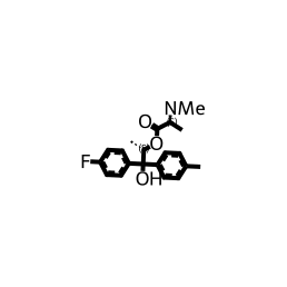 CN[C@@H](C)C(=O)O[C@@H](C)C(O)(c1ccc(C)cc1)c1ccc(F)cc1